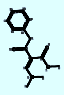 COC(=O)C(=CN(C)C)C(=O)Cc1ccccc1